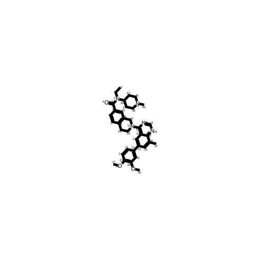 CCN(C(=O)c1ccc2c(c1)CN(c1ncnc3c(C)cc(-c4ccc(OC)c(OC)c4)cc13)CC2)C1CCN(C)CC1